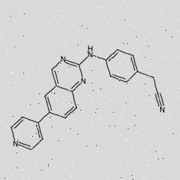 N#CCc1ccc(Nc2ncc3cc(-c4ccncc4)ccc3n2)cc1